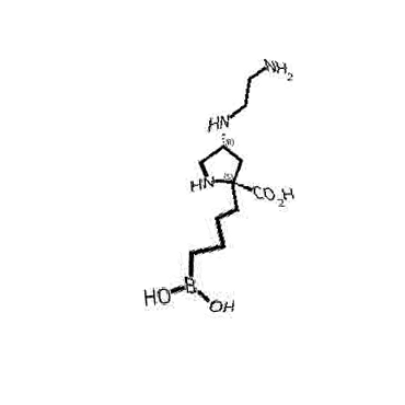 NCCN[C@H]1CN[C@](CCCCB(O)O)(C(=O)O)C1